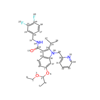 CCOC(CC)Oc1ccc2c(C(=O)NCc3ccc(F)c(F)c3)c(C(C)C)n(Cc3ccccn3)c2c1